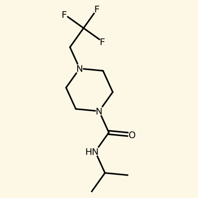 CC(C)NC(=O)N1CCN(CC(F)(F)F)CC1